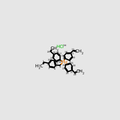 C=Cc1ccc(C[PH](c2ccc(C=C)cc2)(c2ccc(C=C)cc2)c2ccc(C=C)cc2)cc1.Cl